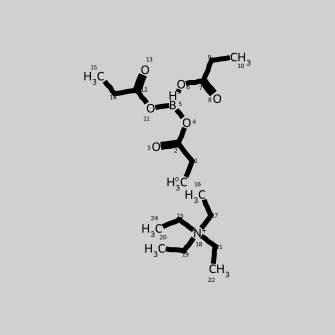 CCC(=O)O[BH-](OC(=O)CC)OC(=O)CC.CC[N+](CC)(CC)CC